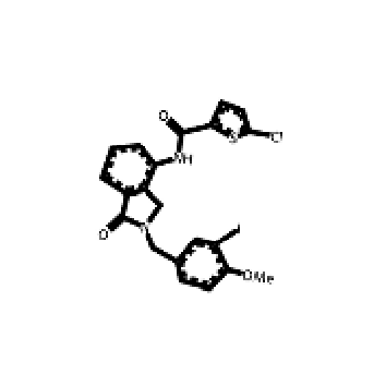 COc1ccc(CN2Cc3c(NC(=O)c4ccc(Cl)s4)cccc3C2=O)cc1I